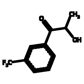 CC(O)C(=O)c1cccc(C(F)(F)F)c1